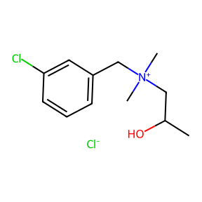 CC(O)C[N+](C)(C)Cc1cccc(Cl)c1.[Cl-]